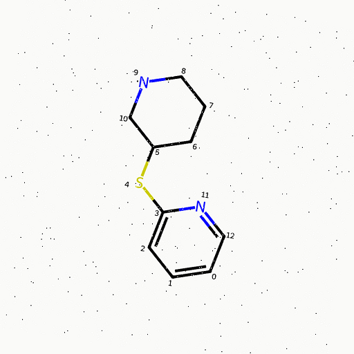 c1ccc(SC2CCC[N]C2)nc1